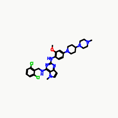 COc1cc(N2CCC(N3CCN(C)CC3)CC2)ccc1Nc1nc(NCc2c(Cl)cccc2Cl)c2c(ccn2C)n1